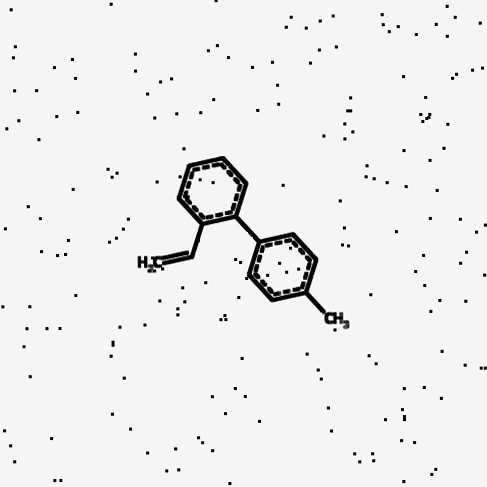 C=Cc1ccccc1-c1ccc(C)cc1